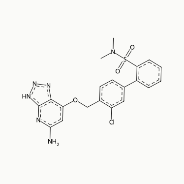 CN(C)S(=O)(=O)c1ccccc1-c1ccc(COc2cc(N)nc3[nH]nnc23)c(Cl)c1